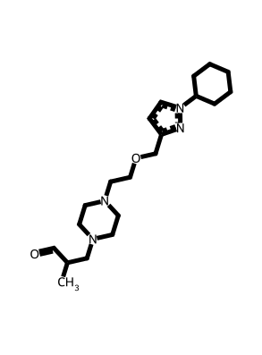 CC(C=O)CN1CCN(CCOCc2ccn(C3CCCCC3)n2)CC1